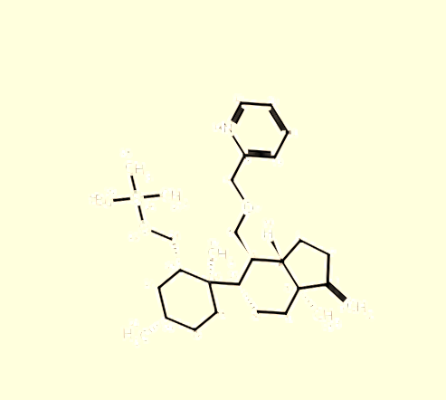 C=C1CC[C@H]2[C@H](COCc3ccccn3)[C@@H]([C@@]3(C)CC[C@H](C)C[C@@H]3CO[Si](C)(C)C(C)(C)C)CC[C@]12C